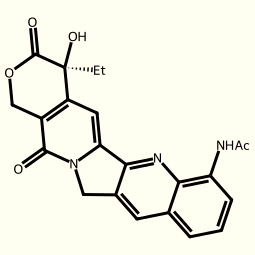 CC[C@@]1(O)C(=O)OCc2c1cc1n(c2=O)Cc2cc3cccc(NC(C)=O)c3nc2-1